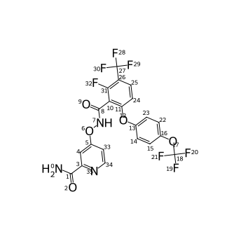 NC(=O)c1cc(ONC(=O)c2c(Oc3ccc(OC(F)(F)F)cc3)ccc(C(F)(F)F)c2F)ccn1